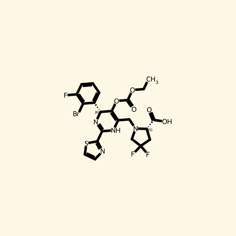 CCOC(=O)OC1=C(CN2CC(F)(F)C[C@H]2C(=O)O)NC(c2nccs2)=N[C@@H]1c1cccc(F)c1Br